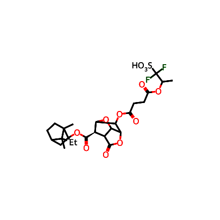 CCC1(OC(=O)[C@H]2C3OC4C(OC(=O)C42)C3OC(=O)CCC(=O)OC(C)C(F)(F)S(=O)(=O)O)CC2CCC1(C)C2(C)C